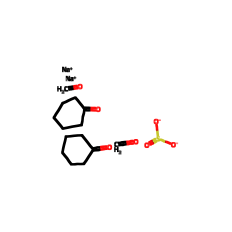 C=O.C=O.O=C1CCCCC1.O=C1CCCCC1.O=S([O-])[O-].[Na+].[Na+]